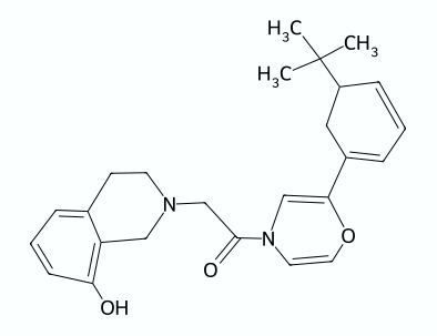 CC(C)(C)C1C=CC=C(C2=CN(C(=O)CN3CCc4cccc(O)c4C3)C=CO2)C1